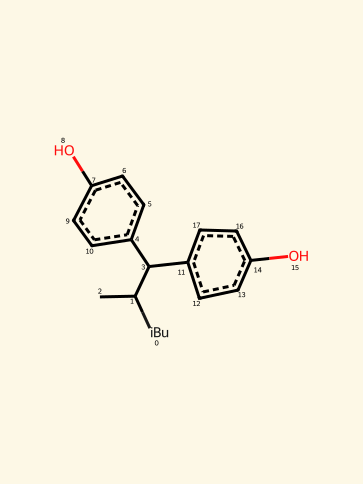 CCC(C)C(C)C(c1ccc(O)cc1)c1ccc(O)cc1